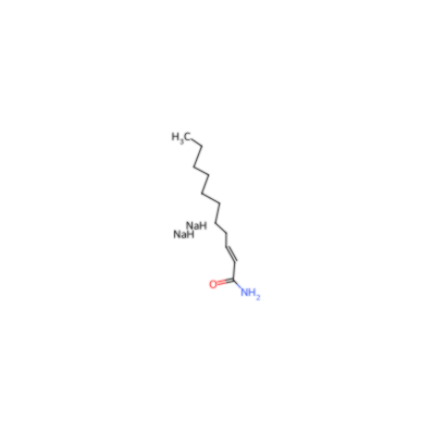 CCCCCCCCC=CC(N)=O.[NaH].[NaH]